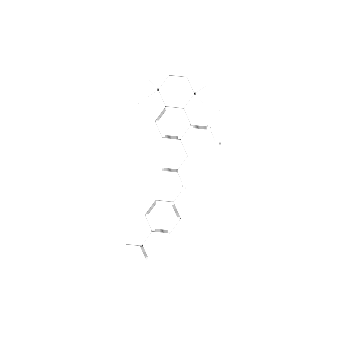 CC1(C)CCC(C)(C)C2C1=CC=C(CC(=O)Nc1ccc(C(=O)O)cc1)C2=NO